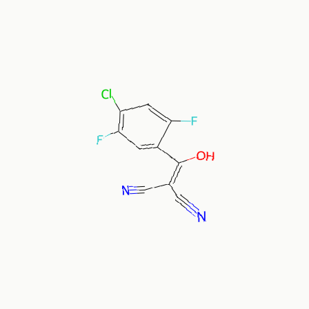 N#CC(C#N)=C(O)c1cc(F)c(Cl)cc1F